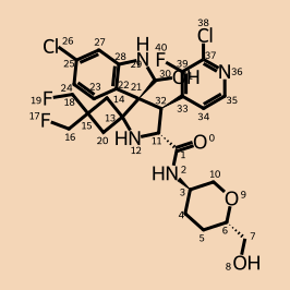 O=C(N[C@@H]1CC[C@@H](CO)OC1)[C@@H]1NC2(CC(CF)(CF)C2)[C@]2(c3ccc(Cl)cc3NC2O)[C@H]1c1ccnc(Cl)c1F